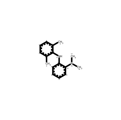 Cc1cccc(C)c1Nc1ccccc1N(C)C